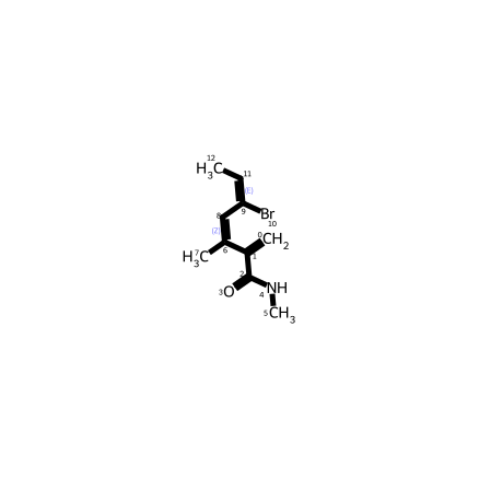 C=C(C(=O)NC)/C(C)=C\C(Br)=C/C